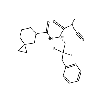 CN(C#N)C(=O)[C@H](CC(F)(F)Cc1ccccc1)NC(=O)N1CCCC2(CC2)C1